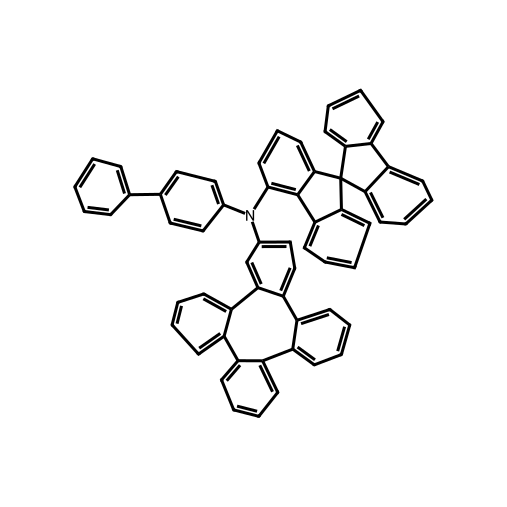 c1ccc(-c2ccc(N(c3ccc4c(c3)-c3ccccc3-c3ccccc3-c3ccccc3-4)c3cccc4c3-c3ccccc3C43c4ccccc4-c4ccccc43)cc2)cc1